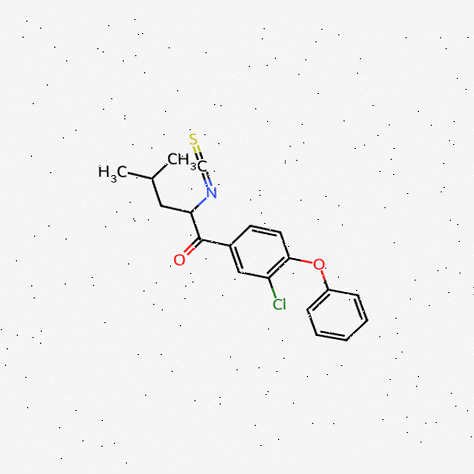 CC(C)CC(N=C=S)C(=O)c1ccc(Oc2ccccc2)c(Cl)c1